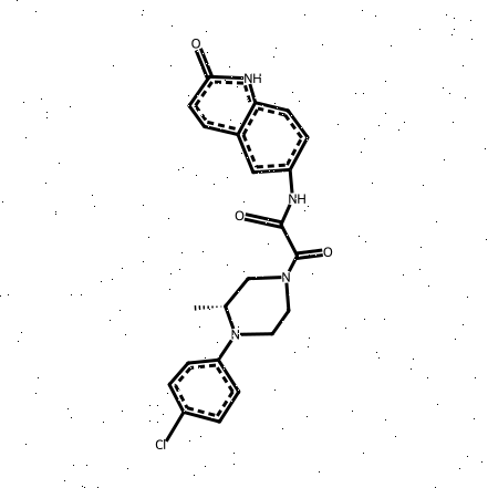 C[C@@H]1CN(C(=O)C(=O)Nc2ccc3[nH]c(=O)ccc3c2)CCN1c1ccc(Cl)cc1